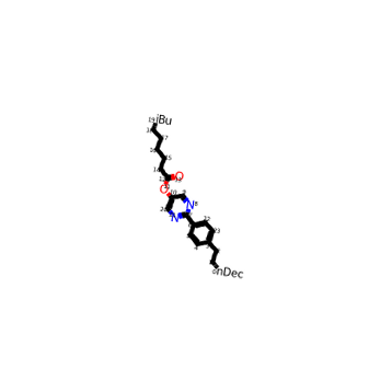 CCCCCCCCCCCCc1ccc(-c2ncc(OC(=O)CCCCCC(C)CC)cn2)cc1